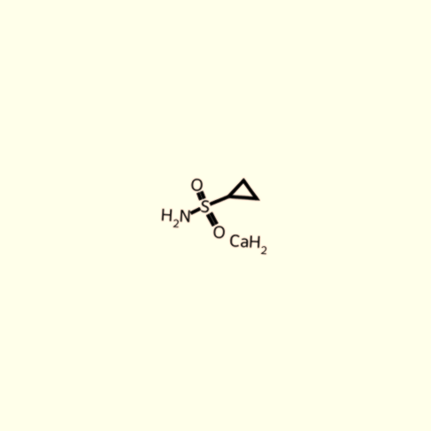 NS(=O)(=O)C1CC1.[CaH2]